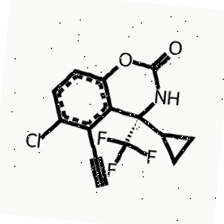 C#Cc1c(Cl)ccc2c1[C@@](C1CC1)(C(F)(F)F)NC(=O)O2